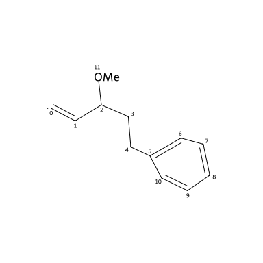 [CH]=CC(CCc1ccccc1)OC